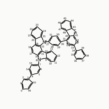 c1ccc(-c2ccc(-n3c4ccccc4c4c3ccc3c5ccccc5n(-c5ccc(-c6nc(-c7ccccc7)nc7sc8ccccc8c67)cc5)c34)cc2)cc1